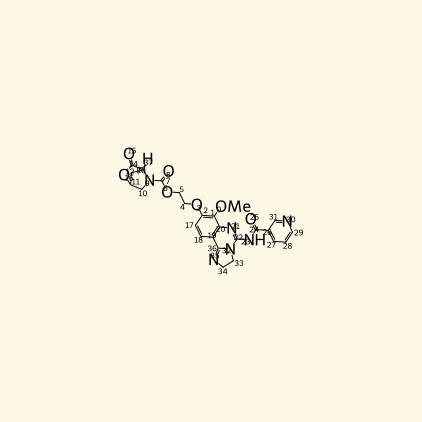 COc1c(OCCOC(=O)N2CC3C[C@@H]2C(=O)O3)ccc2c1N=C(NC(=O)c1cccnc1)N1CCN=C21